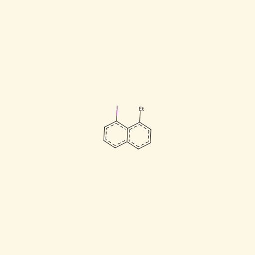 CCc1cccc2cccc(I)c12